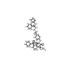 COC(=O)[C@H](Cc1ccc(OCCCN(Cc2cccs2)c2ccccc2)cc1)Nc1ccccc1C(=O)c1ccccc1